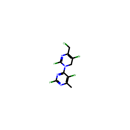 Cc1nc(F)nc(N2[CH]C(Br)=C(CCl)N=C2F)c1Br